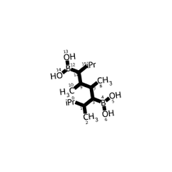 CC(C)C(C)C(B(O)O)C(C)C(C)C(B(O)O)C(C)C